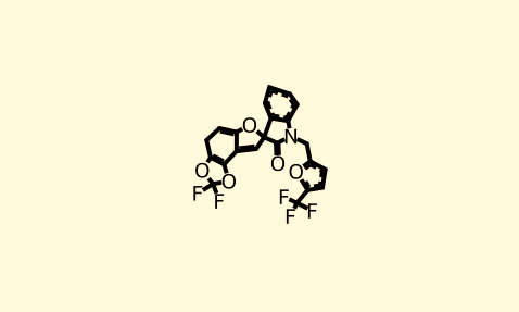 O=C1N(Cc2ccc(C(F)(F)F)o2)c2ccccc2C12C=C1C(=CCC3=C1OC(F)(F)O3)O2